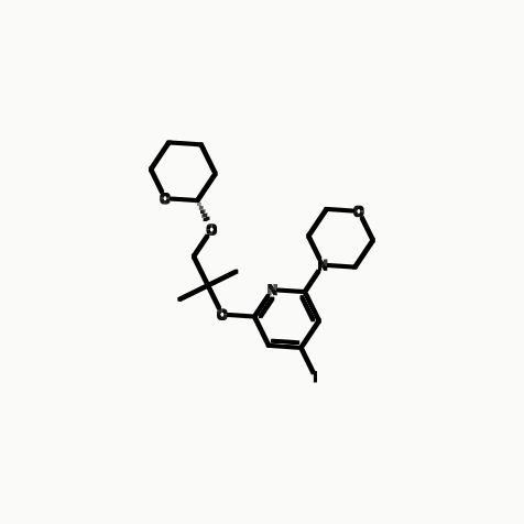 CC(C)(CO[C@H]1CCCCO1)Oc1cc(I)cc(N2CCOCC2)n1